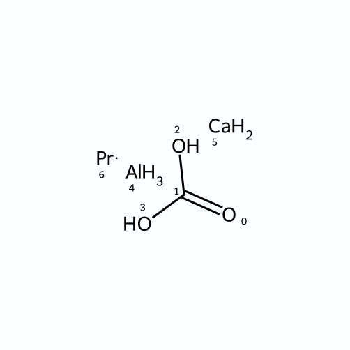 O=C(O)O.[AlH3].[CaH2].[Pr]